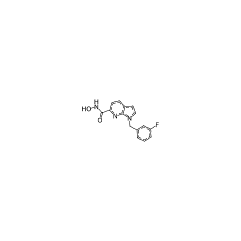 O=C(NO)c1ccc2ccn(Cc3cccc(F)c3)c2n1